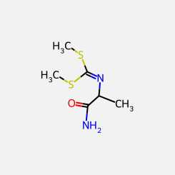 CSC(=NC(C)C(N)=O)SC